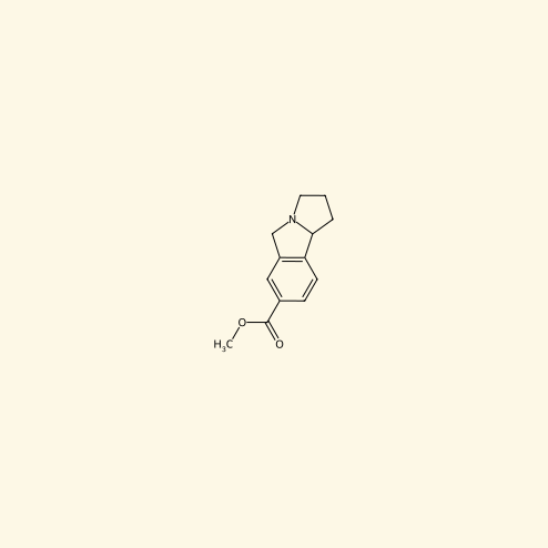 COC(=O)c1ccc2c(c1)CN1CCCC21